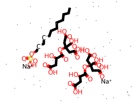 CCCCCCCC[CH-]C[CH-]COS(=O)(=O)O.O=C(O)CC(O)C(=O)OC(CC(=O)O)(CC(=O)O)C(=O)O.O=C(O)CC(O)C(=O)OC(CC(=O)O)(CC(=O)O)C(=O)O.[Na+].[Na+]